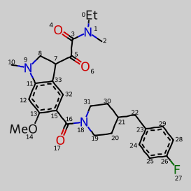 CCN(C)C(=O)C(=O)C1CN(C)c2cc(OC)c(C(=O)N3CCC(Cc4ccc(F)cc4)CC3)cc21